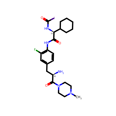 CN1CCN(C(=O)[C@H](N)Cc2ccc(NC(=O)[C@@H](NC(=O)I)C3CCCCC3)c(F)c2)CC1